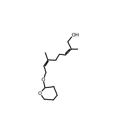 CC(=CCCC(C)=CCOC1CCCCO1)CO